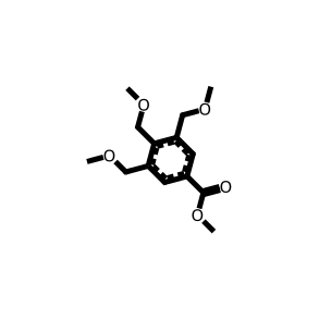 COCc1cc(C(=O)OC)cc(COC)c1COC